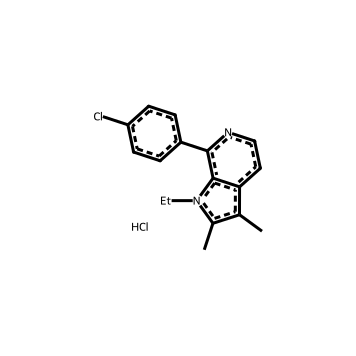 CCn1c(C)c(C)c2ccnc(-c3ccc(Cl)cc3)c21.Cl